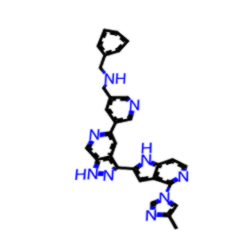 Cc1cn(-c2nccc3[nH]c(-c4n[nH]c5cnc(-c6cncc(CNCc7ccccc7)c6)cc45)cc23)cn1